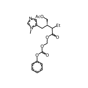 CCC(C(=O)OCOC(=O)Oc1ccccc1)[C@H](COC(C)=O)Cc1cncn1C